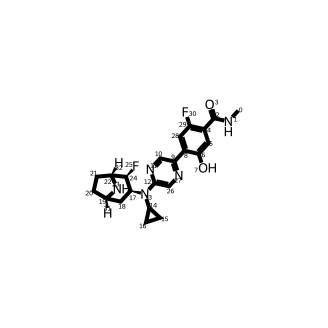 CNC(=O)c1cc(O)c(-c2cnc(N(C3CC3)[C@H]3C[C@@H]4CC[C@@H](N4)[C@H]3F)cn2)cc1F